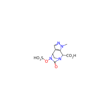 Cn1ncc2c1C(C(=O)O)N1CC2N(OS(=O)(=O)O)C1=O